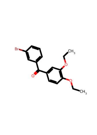 CCOc1ccc(C(=O)c2cccc(Br)c2)cc1OCC